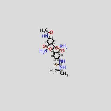 CC(=O)Nc1ccc(/C=C/c2ccc(NC(=S)NC(C)C)cc2S(N)(=O)=O)c(S(N)(=O)=O)c1